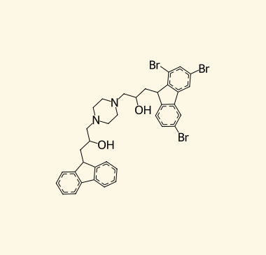 OC(CC1c2ccccc2-c2ccccc21)CN1CCN(CC(O)CC2c3ccc(Br)cc3-c3cc(Br)cc(Br)c32)CC1